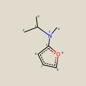 CC(C)N(C)c1ccco1